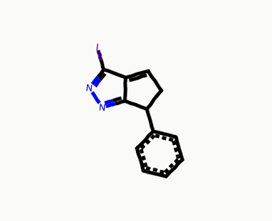 IC1=NN=C2C1=CCC2c1ccccc1